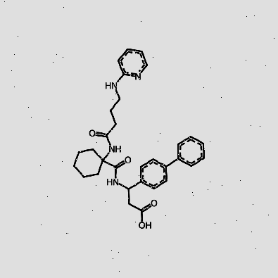 O=C(O)CC(NC(=O)C1(NC(=O)CCCNc2ccccn2)CCCCC1)c1ccc(-c2ccccc2)cc1